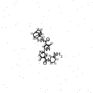 Cc1cnc(-n2cc(C(=O)NCC34CC5CC(CC(C5)C3)C4)c(C)n2)nc1C(=O)N1CCC[C@@H](N)C1